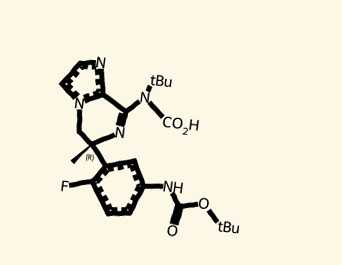 CC(C)(C)OC(=O)Nc1ccc(F)c([C@]2(C)Cn3ccnc3C(N(C(=O)O)C(C)(C)C)=N2)c1